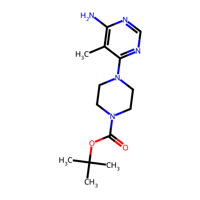 Cc1c(N)ncnc1N1CCN(C(=O)OC(C)(C)C)CC1